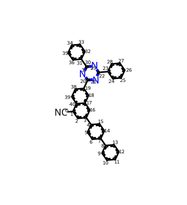 N#Cc1cc(-c2ccc(-c3ccccc3)cc2)cc2cc(-c3nc(-c4ccccc4)nc(-c4ccccc4)n3)ccc12